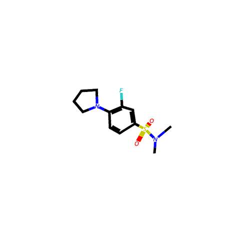 CN(C)S(=O)(=O)c1ccc(N2CCCC2)c(F)c1